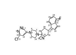 N#CC1(N2CCN(c3cnnc(Cl)c3)CC2)CCC(C2C=Cc3c(F)cccc32)CC1